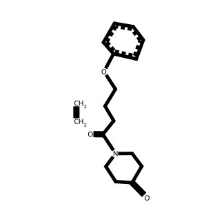 C=C.O=C1CCN(C(=O)CCCOc2ccccc2)CC1